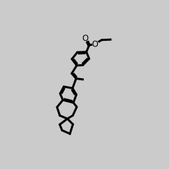 CCOC(=O)c1ccc(C=C(C)c2ccc3c(c2)CCC2(CCCC2)CC3)cc1